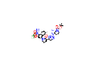 Cc1ccc2c(NS(=O)(=O)CCl)cccc2c1Oc1ncccc1-c1ccnc(N[C@H]2CCCN(C(=O)OC(C)(C)C)C2)n1